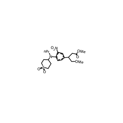 CCCN(c1ccc(C(COC)CC(=O)OC)cc1[N+](=O)[O-])C1CCS(=O)(=O)CC1